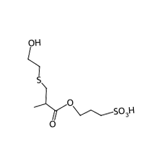 CC(CSCCO)C(=O)OCCCS(=O)(=O)O